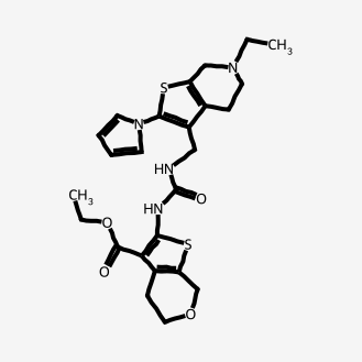 CCOC(=O)c1c(NC(=O)NCc2c(-n3cccc3)sc3c2CCN(CC)C3)sc2c1CCOC2